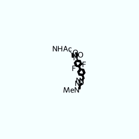 CNCc1cn(Cc2ccc(-c3c(F)cc(N4C[C@H](CNC(C)=O)OC4=O)cc3F)cc2)nn1